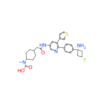 CN(C(=O)O)C1CCC(CC(=O)Nc2cnc(-c3ccc([C@]4(N)C[C@@H](F)C4)cc3)c(-c3ccsc3)c2)CC1